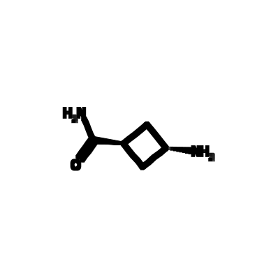 NC(=O)[C@H]1C[C@H](N)C1